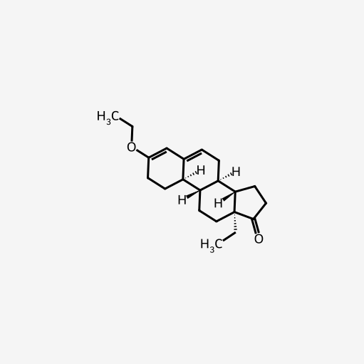 CCOC1=CC2=CC[C@@H]3[C@H](CC[C@]4(CC)C(=O)CC[C@@H]34)[C@H]2CC1